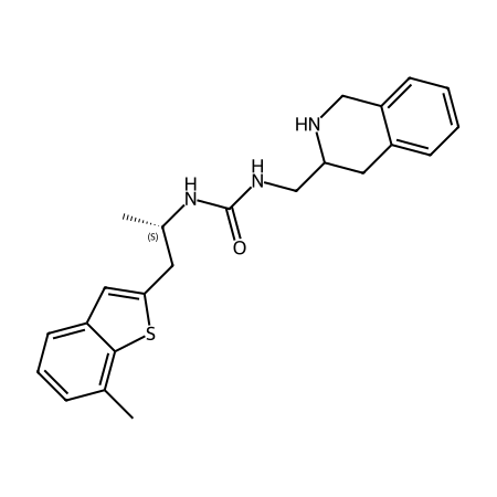 Cc1cccc2cc(C[C@H](C)NC(=O)NCC3Cc4ccccc4CN3)sc12